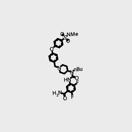 CCCCN(C(=O)Nc1cc(C(N)=O)c(F)cc1F)C1CCN(Cc2ccc(Oc3ccc(S(=O)(=O)NC)cc3)cc2)CC1